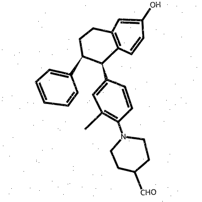 Cc1cc([C@@H]2c3ccc(O)cc3CC[C@@H]2c2ccccc2)ccc1N1CCC(C=O)CC1